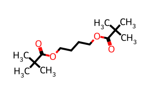 CC(C)(C)C(=O)OCCCCOC(=O)C(C)(C)C